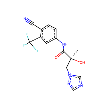 C[C@](O)(Cn1cncn1)C(=O)Nc1ccc(C#N)c(C(F)(F)F)c1